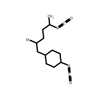 CCC(CCC(C)N=C=O)CC1CCC(N=C=O)CC1